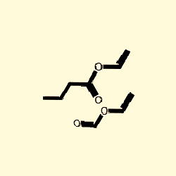 C=COC(=O)CCC.C=COC=O